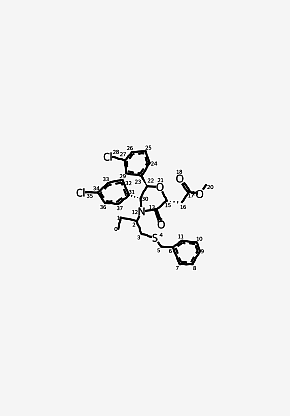 CCC(CSCc1ccccc1)N1C(=O)[C@@H](CC(=O)OC)O[C@H](c2cccc(Cl)c2)[C@H]1c1ccc(Cl)cc1